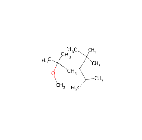 CC(C)CC(C)(C)C.COC(C)(C)C